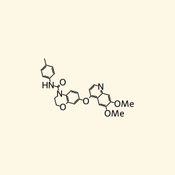 COc1cc2nccc(Oc3ccc4c(c3)OCCN4C(=O)Nc3ccc(C)cc3)c2cc1OC